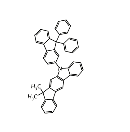 CC1(C)c2ccccc2-c2cc3c4ccccc4n(-c4ccc5c(c4)C(c4ccccc4)(c4ccccc4)c4ccccc4-5)c3cc21